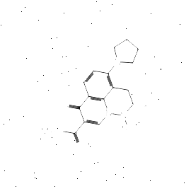 COC(=O)c1cn2c3c(c(N4CCCC4)ccc3c1=O)C[C@H](F)N2C